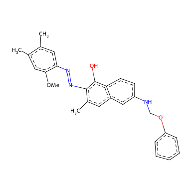 COc1cc(C)c(C)cc1N=Nc1c(C)cc2cc(NCOc3ccccc3)ccc2c1O